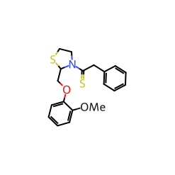 COc1ccccc1OCC1SCCN1C(=S)Cc1ccccc1